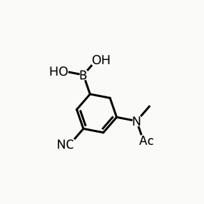 CC(=O)N(C)C1=CC(C#N)=CC(B(O)O)C1